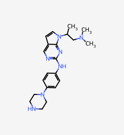 CC(CN(C)C)n1ccc2cnc(Nc3ccc(N4CCNCC4)cc3)nc21